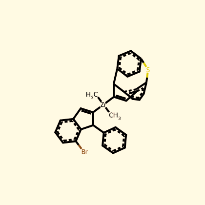 [CH3][Zr]([CH3])([C]1=Cc2c3cccc2C1c1ccc(cc1)S3)[C]1=Cc2cccc(Br)c2C1c1ccccc1